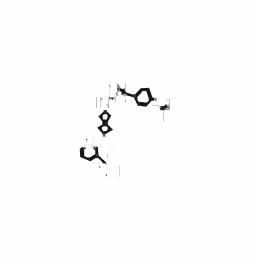 NC(=O)c1cccnc1OC1CC2(CC(Nc3nnc(-c4ccc(OC(F)(F)F)cc4)o3)C2)C1